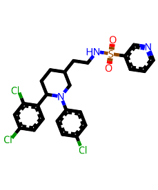 O=S(=O)(NCCC1CCC(c2ccc(Cl)cc2Cl)N(c2ccc(Cl)cc2)C1)c1cccnc1